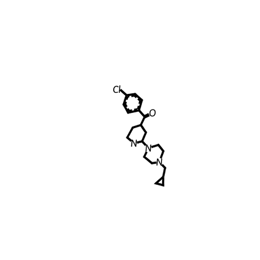 O=C(c1ccc(Cl)cc1)C1CC[N]C(N2CCN(CC3CC3)CC2)C1